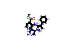 COC(=O)c1ccncc1Nc1c(-c2ccccc2)cnn1[C@@H]1CNC[C@H]1C